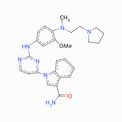 COc1cc(Nc2nccc(-n3cc(C(N)=O)c4ccccc43)n2)ccc1N(C)CCN1CCCC1